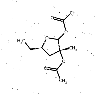 CC[C@@H]1C[C@@](C)(OC(C)=O)C(OC(C)=O)O1